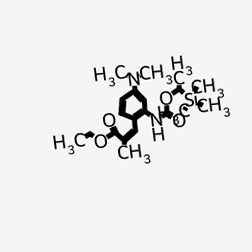 CCOC(=O)C(C)=Cc1ccc(N(C)C)cc1NC(=O)OC(C)[Si](C)(C)C